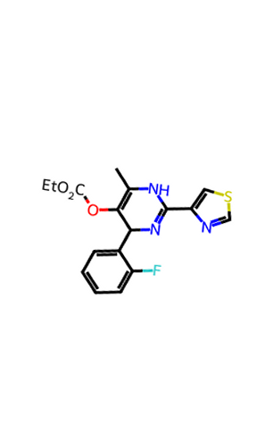 CCOC(=O)OC1=C(C)NC(c2cscn2)=NC1c1ccccc1F